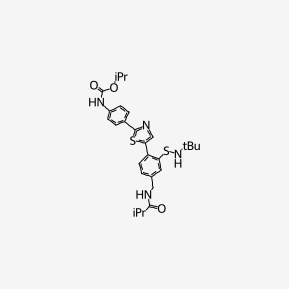 CC(C)OC(=O)Nc1ccc(-c2ncc(-c3ccc(CNC(=O)C(C)C)cc3SNC(C)(C)C)s2)cc1